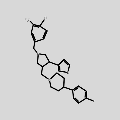 Fc1ccc(C2CCN(CC3CN(Cc4ccc(Cl)c(C(F)(F)F)c4)CC3c3ccsc3)CC2)cc1